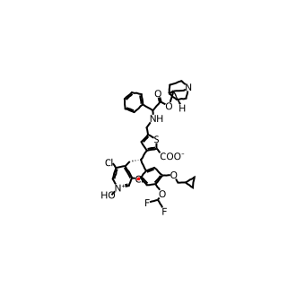 O=C([O-])c1sc(CNC(C(=O)O[C@H]2CN3CCC2CC3)c2ccccc2)cc1[C@@H](Cc1c(Cl)c[n+](O)cc1Cl)c1ccc(OC(F)F)c(OCC2CC2)c1